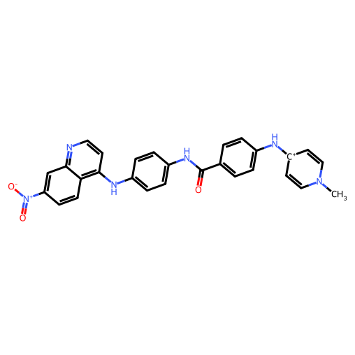 Cn1cc[c+](Nc2ccc(C(=O)Nc3ccc(Nc4ccnc5cc([N+](=O)[O-])ccc45)cc3)cc2)cc1